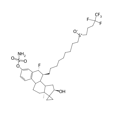 C[C@]12CCC3c4ccc(OS(N)(=O)=O)cc4[C@H](F)[C@@H](CCCCCCCCC[S+]([O-])CCCC(F)(F)C(F)(F)F)C3C1C[C@@H](O)C21CC1